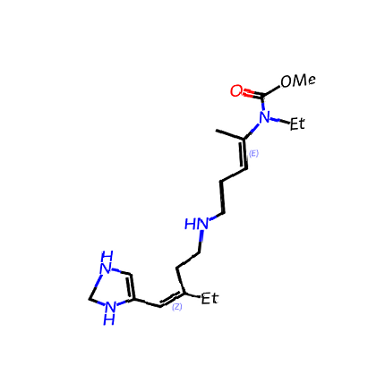 CC/C(=C/C1=CNCN1)CCNCC/C=C(\C)N(CC)C(=O)OC